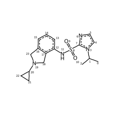 CC(C)n1ccnc1S(=O)(=O)Nc1cccc2c1CN(C1CC1)C2